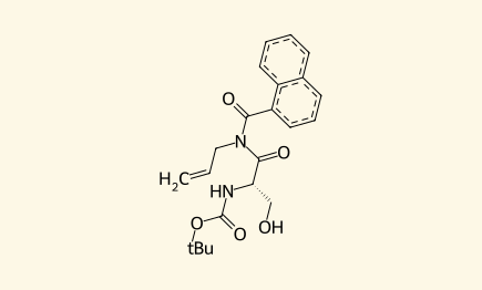 C=CCN(C(=O)c1cccc2ccccc12)C(=O)[C@H](CO)NC(=O)OC(C)(C)C